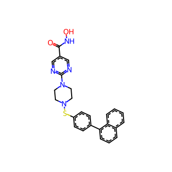 O=C(NO)c1cnc(N2CCN(Sc3ccc(-c4cccc5ccccc45)cc3)CC2)nc1